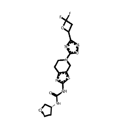 O=C(Nc1nc2c(s1)CN(c1nc(C3CC(F)(F)O3)no1)CC2)N[C@@H]1CCOC1